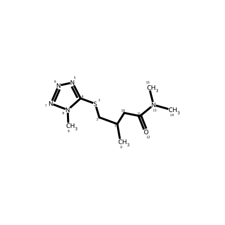 CC(CSc1nnnn1C)CC(=O)N(C)C